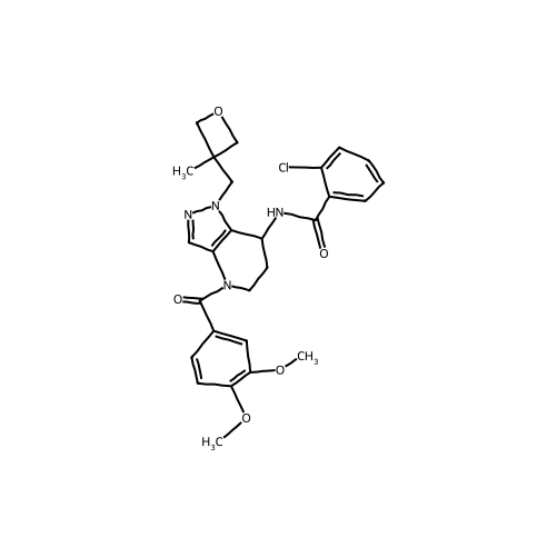 COc1ccc(C(=O)N2CCC(NC(=O)c3ccccc3Cl)c3c2cnn3CC2(C)COC2)cc1OC